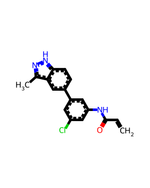 C=CC(=O)Nc1cc(Cl)cc(-c2ccc3[nH]nc(C)c3c2)c1